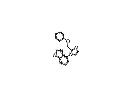 c1ccc(OCc2nccn2-c2ccnc3ncnn23)cc1